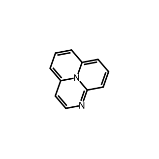 C1=CC2=CC=CC3=NC=CC(=C1)N23